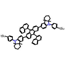 CC(C)(C)c1ccc(N2c3ccc(-c4ccc5c(-c6cccc7ccccc67)c6cc(-c7ccc8c(c7)C7(C)CCCCC7(C)N8c7ccc(C(C)(C)C)cc7)ccc6c(-c6cccc7ccccc67)c5c4)cc3C3(C)CCCCC23C)cc1